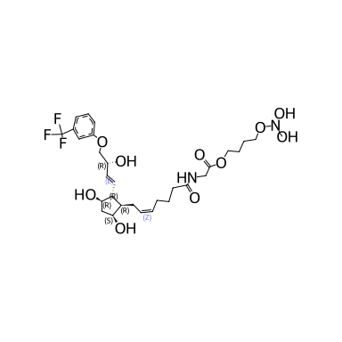 O=C(CCC/C=C\C[C@@H]1[C@@H](/C=C/[C@@H](O)COc2cccc(C(F)(F)F)c2)[C@H](O)C[C@@H]1O)NCC(=O)OCCCCON(O)O